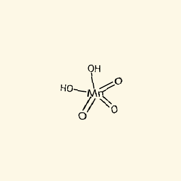 [O]=[Mn](=[O])(=[O])([OH])[OH]